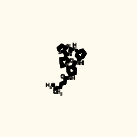 CN(C)C/C=C/C(=O)Nc1ccc(C(=O)Nc2cccc(Nc3nc(-c4cccnc4)c4sccc4n3)c2)cc1